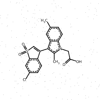 Cc1ccc2c(c1)c(C1=CS(=O)(=O)c3cc(Cl)ccc31)c(C)n2CC(=O)O